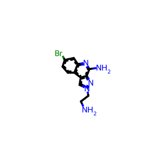 NCCn1cc2c(n1)c(N)nc1cc(Br)ccc12